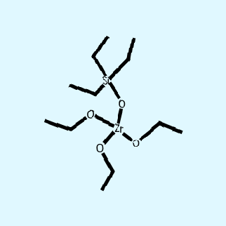 CC[O][Zr]([O]CC)([O]CC)[O][Si](CC)(CC)CC